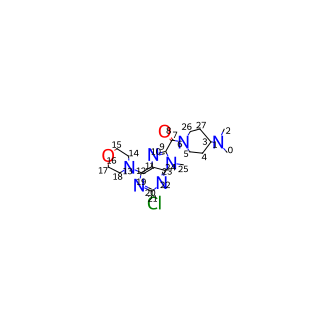 CN(C)C1CCN(C(=O)c2nc3c(N4CCOCC4)nc(Cl)nc3n2C)CC1